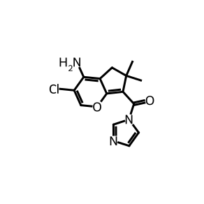 CC1(C)CC2=C(N)C(Cl)=COC2=C1C(=O)n1ccnc1